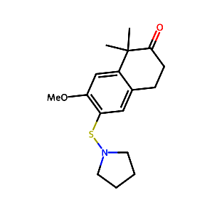 COc1cc2c(cc1SN1CCCC1)CCC(=O)C2(C)C